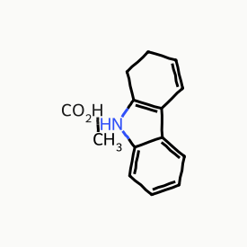 C1=Cc2c([nH]c3ccccc23)CC1.CC(=O)O